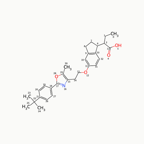 CCC(C(=O)O)C1CCc2cc(OCCc3nc(-c4ccc(C(C)(C)C)cc4)oc3C)ccc21